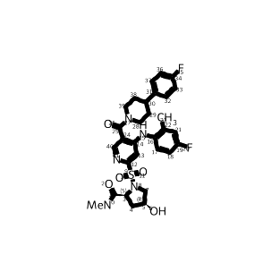 CNC(=O)[C@@H]1C[C@@H](O)CN1S(=O)(=O)c1cc(Nc2ccc(F)cc2C)c(C(=O)N2CCC(c3ccc(F)cc3)CC2)cn1